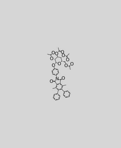 CC(=O)OC[C@H]1O[C@@H](Oc2ccc(N3C(=O)c4c(C)c(-c5ccccc5)c(-c5ccccc5)c(C)c4C3=O)cc2)[C@H](OC(C)=O)[C@@H](OC(C)=O)[C@@H]1OC(C)=O